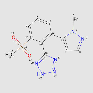 CC(C)n1nccc1-c1cccc(S(C)(=O)=O)c1-c1nn[nH]n1